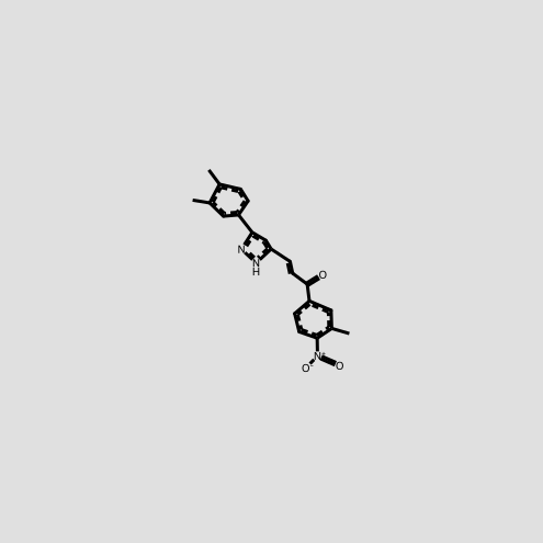 Cc1ccc(-c2cc(/C=C/C(=O)c3ccc([N+](=O)[O-])c(C)c3)[nH]n2)cc1C